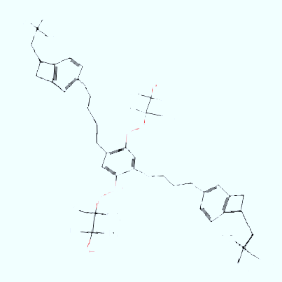 CC(C)(C)CC1Cc2cc(CCCCc3cc(BOC(C)(C)C(C)(C)O)c(CCCCc4ccc5c(c4)CC5CC(C)(C)C)cc3BOC(C)(C)C(C)(C)O)ccc21